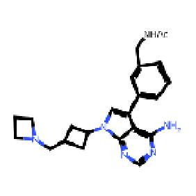 CC(=O)NCc1cccc(-c2cn(C3CC(CN4CCC4)C3)c3ncnc(N)c23)c1